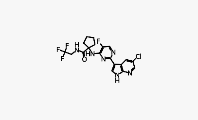 O=C(NCC(F)(F)F)C1(Nc2nc(-c3c[nH]c4ncc(Cl)cc34)ncc2F)CCCC1